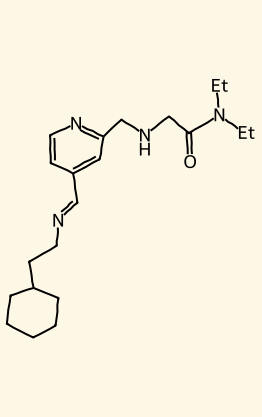 CCN(CC)C(=O)CNCc1cc(/C=N/CCC2CCCCC2)ccn1